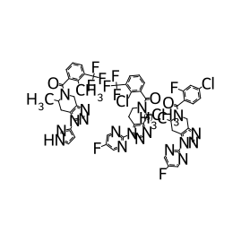 CC1Cc2c(nnn2-c2ncc(F)cn2)CN1C(=O)c1ccc(Cl)cc1F.C[C@H]1c2nnn(-c3ncc(F)cn3)c2CCN1C(=O)c1cccc(C(F)(F)F)c1Cl.Cc1c(C(=O)N2Cc3nnn(-c4cc[nH]n4)c3CC2C)cccc1C(F)(F)F